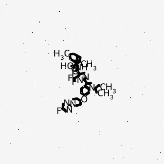 CCC(CC)n1cc(-c2ncc(C(=O)NC3(C(=O)O)C(C)CC4CC(C)CC3C4)c(C(F)(F)F)n2)c2ccc(OC3CCN(c4ncc(F)cn4)CC3)cc21